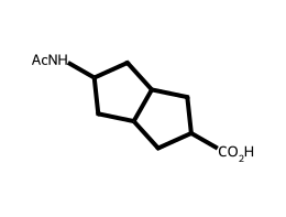 CC(=O)NC1CC2CC(C(=O)O)CC2C1